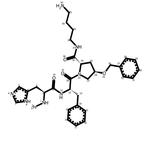 [2H]N[C@@H](Cc1cnc[nH]1)C(=O)N[C@@H](Cc1ccccc1)C(=O)N1C[C@H](OCc2ccccc2)C[C@H]1C(=O)NCCCCN